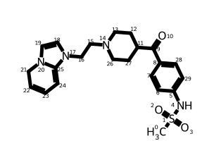 CS(=O)(=O)Nc1ccc(C(=O)C2CCN(CCN3C=CN4CC=CC=C43)CC2)cc1